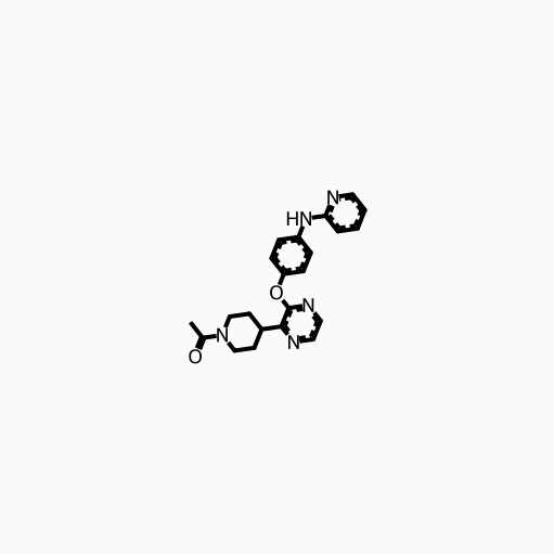 CC(=O)N1CCC(c2nccnc2Oc2ccc(Nc3ccccn3)cc2)CC1